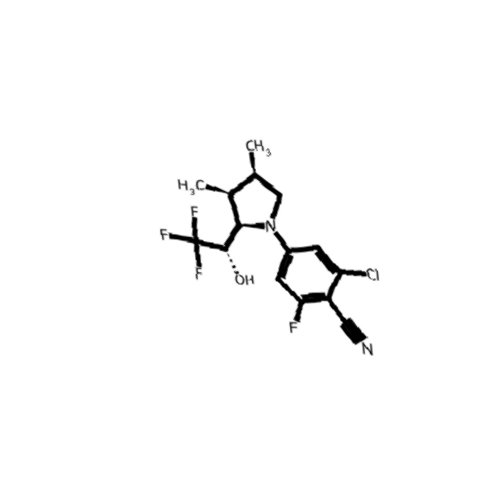 C[C@@H]1[C@H]([C@H](O)C(F)(F)F)N(c2cc(F)c(C#N)c(Cl)c2)C[C@@H]1C